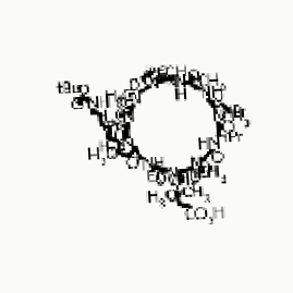 CCC1NC(=O)C(C[C@H](C)CCCCCCNC(=O)OC(C)(C)C)N(C)C(=O)C(C(C)C)N(C)C(=O)N(C)C(=O)[C@@H](CC(C)C)N(C)C(=O)C(C)NC(=O)[C@@H](C)NC(=O)[C@@H](CC(C)C)N(C)C(=O)[C@@H](C(C)C)NC(=O)[C@H](CC(C)C)N(C)C(=O)[C@@H](CSC(C)(C)CCC(=O)O)N(C)C1=O